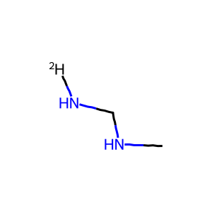 [2H]NCNC